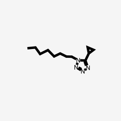 CCCCCCCCn1nnnc1C1CC1